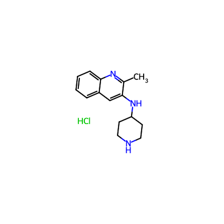 Cc1nc2ccccc2cc1NC1CCNCC1.Cl